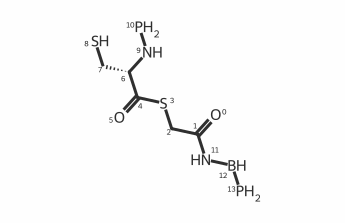 O=C(CSC(=O)[C@H](CS)NP)NBP